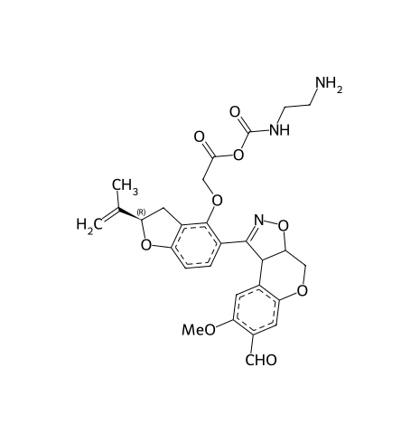 C=C(C)[C@H]1Cc2c(ccc(C3=NOC4COc5cc(C=O)c(OC)cc5C34)c2OCC(=O)OC(=O)NCCN)O1